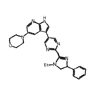 CCN1CC(c2ccccc2)N=C1c1ncc(-c2c[nH]c3ncc(N4CCOCC4)cc23)cn1